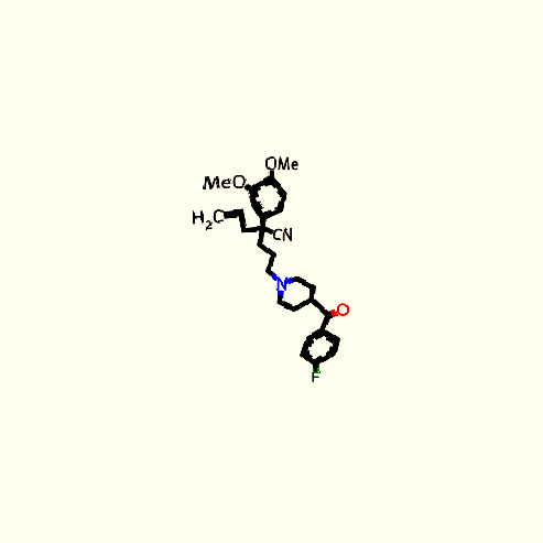 C=CCC(C#N)(CCCN1CCC(C(=O)c2ccc(F)cc2)CC1)c1ccc(OC)c(OC)c1